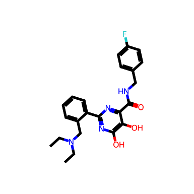 CCN(CC)Cc1ccccc1-c1nc(O)c(O)c(C(=O)NCc2ccc(F)cc2)n1